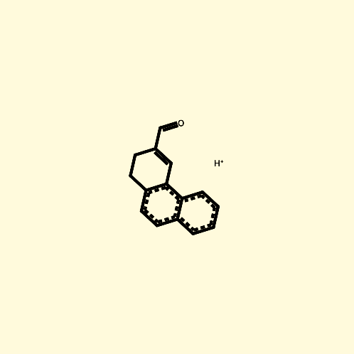 O=CC1=Cc2c(ccc3ccccc23)CC1.[H+]